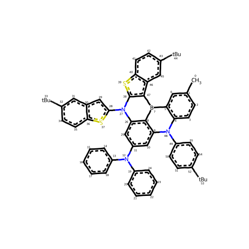 Cc1ccc2c(c1)B1c3c(cc(N(c4ccccc4)c4ccccc4)cc3N(c3cc4cc(C(C)(C)C)ccc4s3)c3sc4ccc(C(C)(C)C)cc4c31)N2c1ccc(C(C)(C)C)cc1